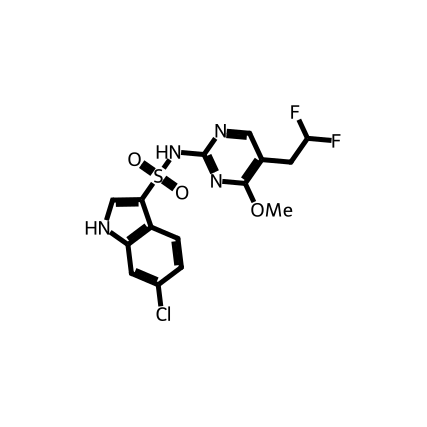 COc1nc(NS(=O)(=O)c2c[nH]c3cc(Cl)ccc23)ncc1CC(F)F